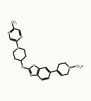 Cc1cnc(N2CCC(Oc3nc4ccc(C5=CCN(C(=O)O)CC5)cc4s3)CC2)cn1